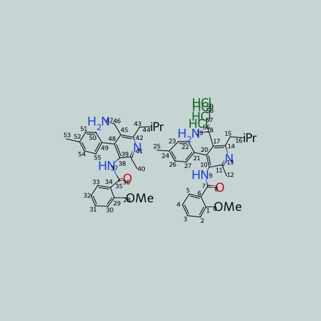 COc1ccccc1C(=O)Nc1c(C)nc(CC(C)C)c(CN)c1-c1ccc(C)cc1.COc1ccccc1C(=O)Nc1c(C)nc(CC(C)C)c(CN)c1-c1ccc(C)cc1.Cl.Cl.Cl.Cl